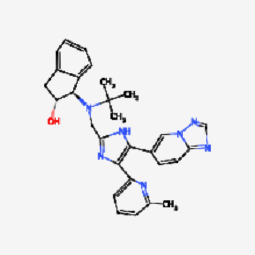 Cc1cccc(-c2nc(CN([C@@H]3c4ccccc4C[C@H]3O)C(C)(C)C)[nH]c2-c2ccc3ncnn3c2)n1